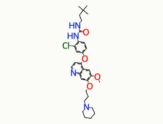 COc1cc2c(Oc3ccc(NC(=O)NCCC(C)(C)C)c(Cl)c3)ccnc2cc1OCCCN1CCCCC1